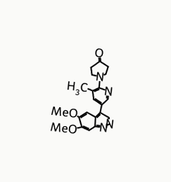 COc1cc2nncc(-c3cnc(N4CCC(=O)CC4)c(C)c3)c2cc1OC